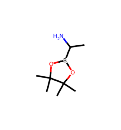 CC(N)B1OC(C)(C)C(C)(C)O1